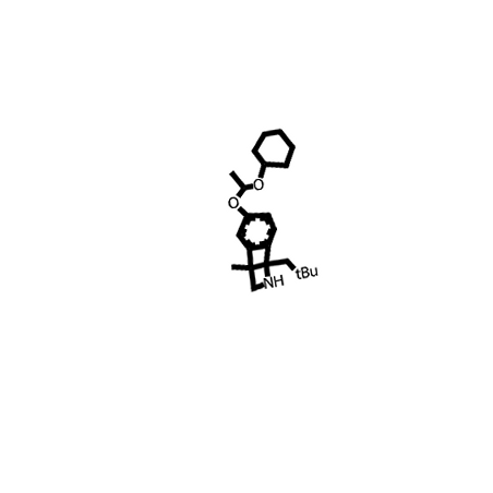 CC(Oc1ccc2c(c1)C1(C)CNC21CC(C)(C)C)OC1CCCCC1